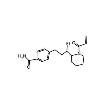 C=CC(=O)N1CCCCC1C(CC)CCc1ccc(C(N)=O)cc1